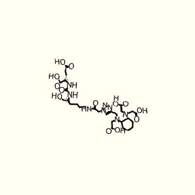 O=C(O)CC[C@H](NC(=O)N[C@H](CO)CCCCNC(=O)Cn1cc(CN(CC(=O)O)C2CCCCC2N(CC(=O)O)CC(=O)O)nn1)C(=O)O